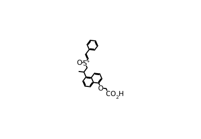 CC(C[S+]([O-])C=Cc1ccccc1)c1cccc2c(OCC(=O)O)cccc12